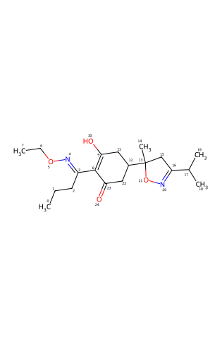 CCC/C(=N\OCC)C1=C(O)CC(C2(C)CC(C(C)C)=NO2)CC1=O